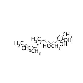 CC(C)=CCCC(C)=CCCC(C)=CCCC(C)(O)CCc1ccc(C)c(O)c1O